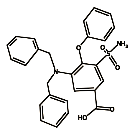 NS(=O)(=O)c1cc(C(=O)O)cc(N(Cc2ccccc2)Cc2ccccc2)c1Oc1ccccc1